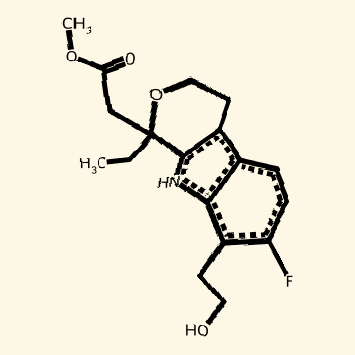 CCC1(CC(=O)OC)OCCc2c1[nH]c1c(CCO)c(F)ccc21